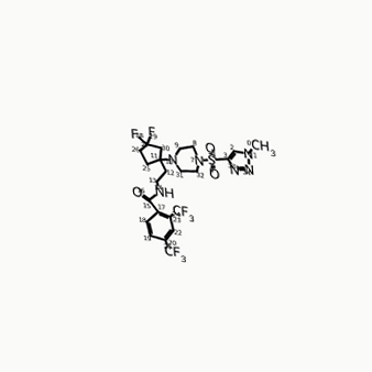 Cn1cc(S(=O)(=O)N2CCN(C3(CCNC(=O)c4ccc(C(F)(F)F)cc4C(F)(F)F)CCC(F)(F)C3)CC2)nn1